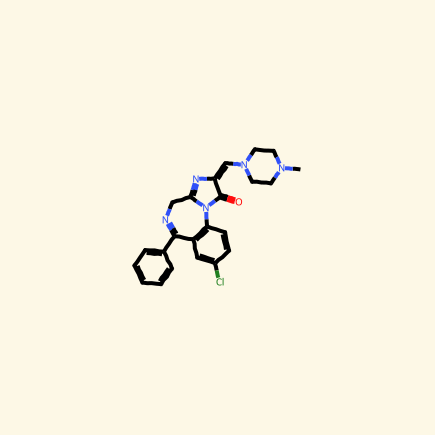 CN1CCN(C=C2N=C3CN=C(c4ccccc4)c4cc(Cl)ccc4N3C2=O)CC1